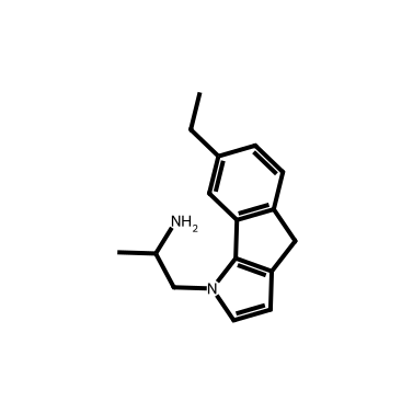 CCc1ccc2c(c1)-c1c(ccn1CC(C)N)C2